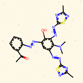 CC(=O)c1ccccc1/N=N/c1cc(/N=N/c2nc(C)ns2)c(N(C)C)c(/N=N/c2nc(C)ns2)c1O